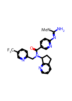 CN/C(N)=N\c1ccc(C(=O)N(Cc2ccc(C(F)(F)F)cn2)C2CCc3cccnc32)cn1